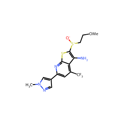 COCC[S+]([O-])c1sc2nc(-c3cnn(C)c3)cc(C(F)(F)F)c2c1N